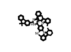 CC1=CCCc2c1n(-c1cc(-n3c4c(c5cccc(C)c53)CCC=C4C)c(C3=NC(c4ccccc4)=NC(c4ccc5c(c4)-c4ccccc4C5(C)C)N3)cc1C#N)c1c(C)cccc21